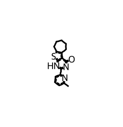 Cc1cccc(-c2nc(=O)c3c4c(sc3[nH]2)CCCCC4)n1